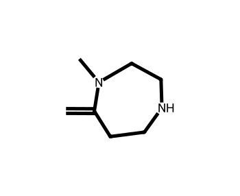 C=C1CCNCCN1C